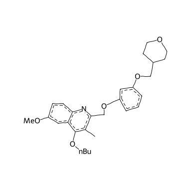 CCCCOc1c(C)c(COc2cccc(OCC3CCOCC3)c2)nc2ccc(OC)cc12